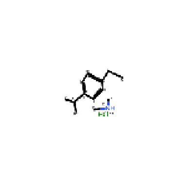 CCc1ccc(C(C)C)cc1.CNC.Cl